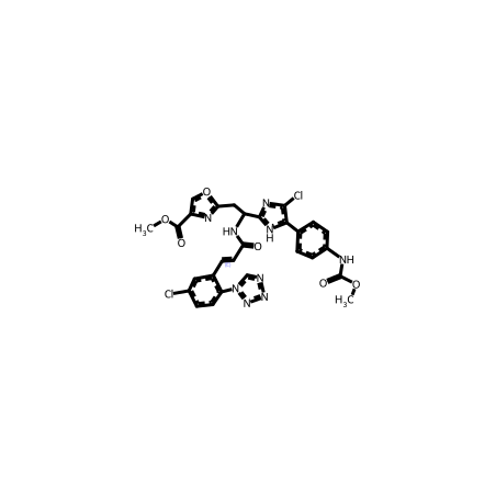 COC(=O)Nc1ccc(-c2[nH]c(C(Cc3nc(C(=O)OC)co3)NC(=O)/C=C/c3cc(Cl)ccc3-n3cnnn3)nc2Cl)cc1